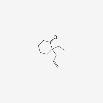 C=CCC1(CC)CCCCC1=O